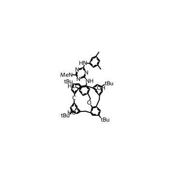 CNc1nc(Nc2cc(C)cc(C)c2)nc(Nc2cccc(COc3c4cc(C(C)(C)C)cc3Cc3cc(C(C)(C)C)cc(c3O)Cc3cc(C(C)(C)C)cc(c3O)Cc3cc(C(C)(C)C)cc(c3O)C4)c2)n1